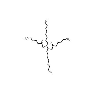 CCCCCCCCC(OC(=O)CCCCC)C(CCCCCCCC=O)OC(=O)CCCCC